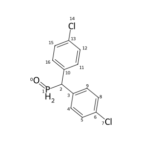 O=[PH2]C(c1ccc(Cl)cc1)c1ccc(Cl)cc1